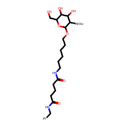 CC(=O)NC1C(OCCCCCCNC(=O)CCCC(=O)NCC(C)C)OC(CO)C(O)C1O